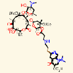 CC[C@H]1OC(=O)[C@H](C)[C@@H](O[C@H]2C[C@@](C)(OC)[C@@H](OC(=O)CCNCCSc3cc4c(=O)c(C(=O)O)cn(N(C)C)c4cn3)[C@H](C)O2)[C@H](C)[C@@H](O[C@@H]2O[C@H](C)C[C@H](N(C)C)[C@H]2O)[C@](C)(OC)C[C@@H](C)C(=O)[C@@H](O)[C@]1(C)O